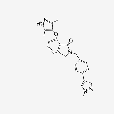 Cc1n[nH]c(C)c1Oc1cccc2c1C(=O)N(Cc1ccc(-c3cnn(C)c3)cc1)C2